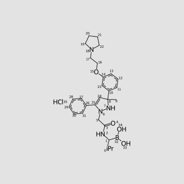 CC(C)C(NC(=O)CN1NC(C)(c2cccc(OCCN3CCCC3)c2)C=C1c1ccccc1)B(O)O.Cl